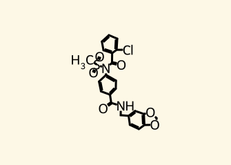 CS(=O)(=O)N(C(=O)c1ccccc1Cl)c1ccc(C(=O)NCc2ccc3c(c2)OCO3)cc1